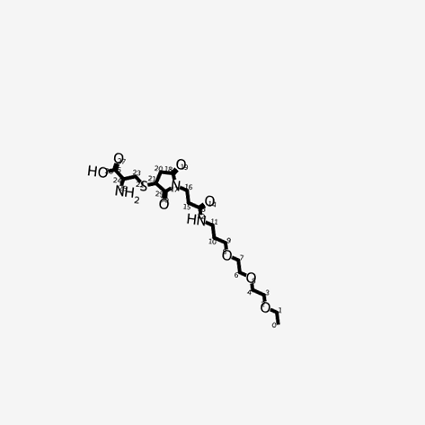 CCOCCOCCOCCCNC(=O)CCN1C(=O)CC(SCC(N)C(=O)O)C1=O